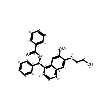 COc1cc2c(N(NC(=O)c3ccccc3)c3ccccc3)ncnc2cc1OCCO